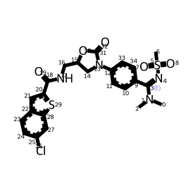 CN(C)/C(=N/S(C)(=O)=O)c1ccc(N2CC(CNC(=O)c3cc4ccc(Cl)cc4s3)OC2=O)cc1